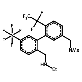 CCNCc1ccc(S(F)(F)(F)(F)F)cc1-c1cc(CNC)ccc1C(F)(F)C(F)(F)F